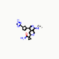 CNc1ncc(C2=CCC(c3nc[nH]n3)C2)c2cc(C3(C(N)=O)CC3)ncc12